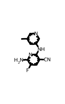 Cc1cncc(Nc2nc(N)c(F)cc2C#N)c1